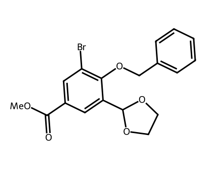 COC(=O)c1cc(Br)c(OCc2ccccc2)c(C2OCCO2)c1